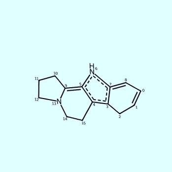 C1=CCc2c3c([nH]c2=C1)=C1CCCN1CC3